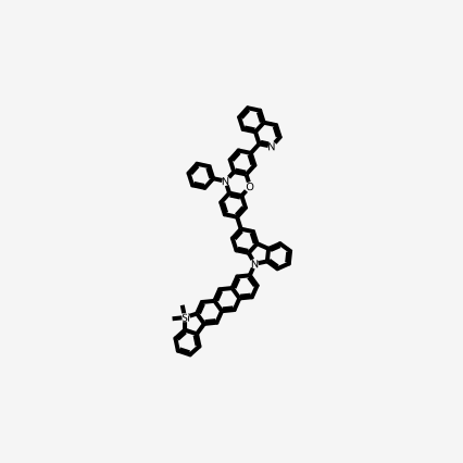 C[Si]1(C)c2ccccc2-c2cc3cc4ccc(-n5c6ccccc6c6cc(-c7ccc8c(c7)Oc7cc(-c9nccc%10ccccc9%10)ccc7N8c7ccccc7)ccc65)cc4cc3cc21